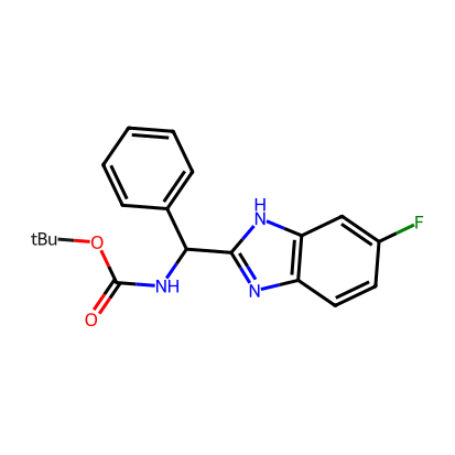 CC(C)(C)OC(=O)NC(c1ccccc1)c1nc2ccc(F)cc2[nH]1